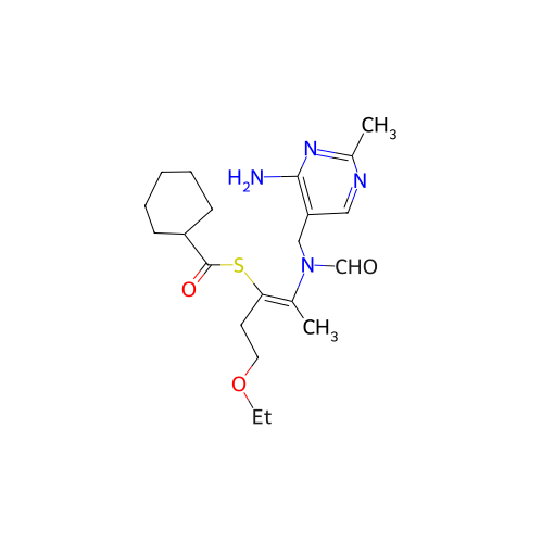 CCOCC/C(SC(=O)C1CCCCC1)=C(\C)N(C=O)Cc1cnc(C)nc1N